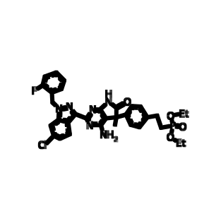 CCOP(=O)(CCc1ccc(C2(C)C(=O)Nc3nc(-c4nn(Cc5ccccc5F)c5cc(Cl)ccc45)nc(N)c32)cc1)OCC